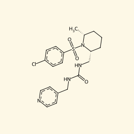 C[C@@H]1CCC[C@H](CNC(=O)NCc2ccncc2)N1S(=O)(=O)c1ccc(Cl)cc1